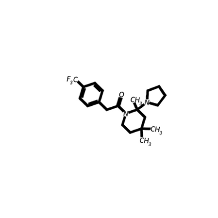 CC1(C)CCN(C(=O)Cc2ccc(C(F)(F)F)cc2)C(C)(N2CCCC2)C1